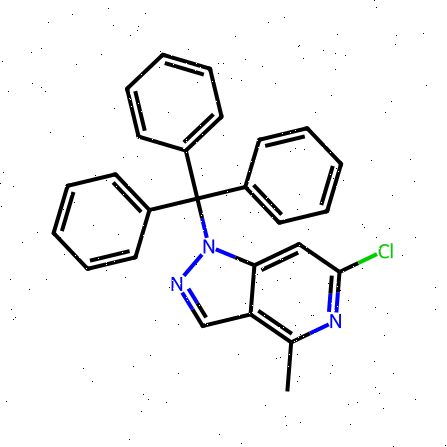 Cc1nc(Cl)cc2c1cnn2C(c1ccccc1)(c1ccccc1)c1ccccc1